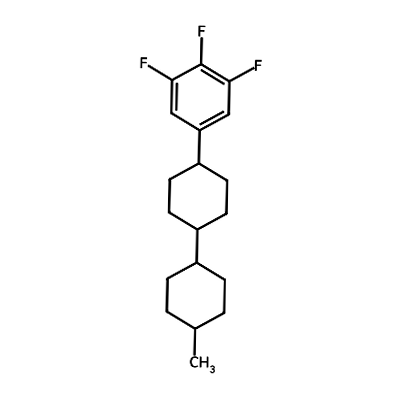 CC1CCC(C2CCC(c3cc(F)c(F)c(F)c3)CC2)CC1